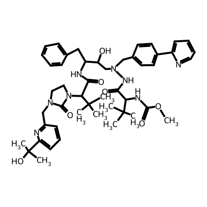 COC(=O)NC(C(=O)NN(Cc1ccc(-c2ccccn2)cc1)CC(O)C(Cc1ccccc1)NC(=O)C(N1CCN(Cc2cccc(C(C)(C)O)n2)C1=O)C(C)(C)C)C(C)(C)C